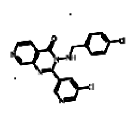 O=c1c2ccncc2nc(-c2cncc(Cl)c2)n1NCc1ccc(Cl)cc1